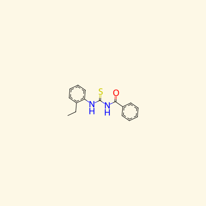 CCc1ccccc1NC(=S)NC(=O)c1ccccc1